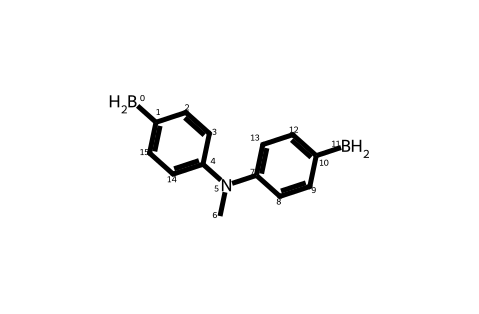 Bc1ccc(N(C)c2ccc(B)cc2)cc1